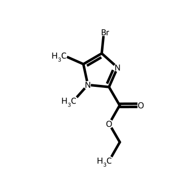 CCOC(=O)c1nc(Br)c(C)n1C